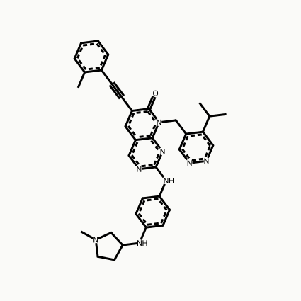 Cc1ccccc1C#Cc1cc2cnc(Nc3ccc(NC4CCN(C)C4)cc3)nc2n(Cc2cnncc2C(C)C)c1=O